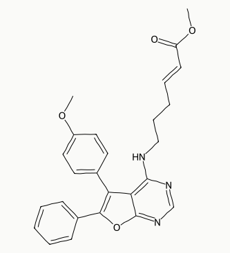 COC(=O)C=CCCCNc1ncnc2oc(-c3ccccc3)c(-c3ccc(OC)cc3)c12